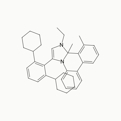 CCN1C=C(c2c(C3CCCCC3)cccc2C2CCCCC2)N2c3ccccc3-c3cccc(C)c3C12C